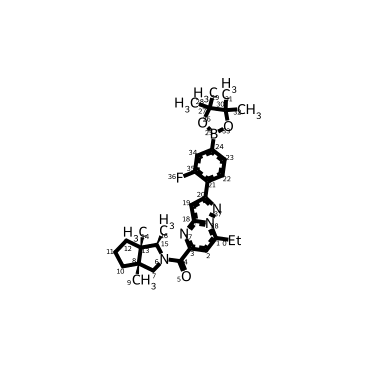 CCc1cc(C(=O)N2C[C@]3(C)CCC[C@]3(C)[C@H]2C)nc2cc(-c3ccc(B4OC(C)(C)C(C)(C)O4)cc3F)nn12